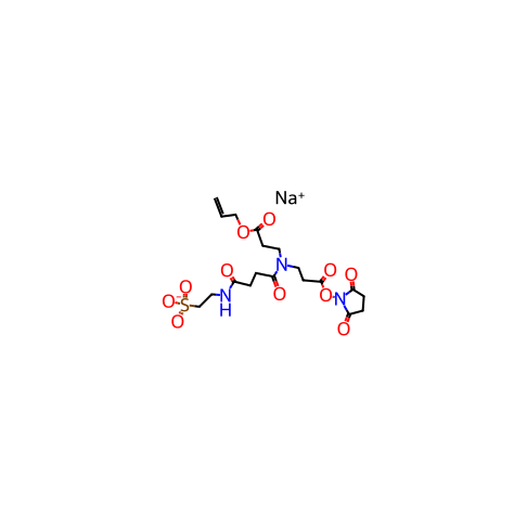 C=CCOC(=O)CCN(CCC(=O)ON1C(=O)CCC1=O)C(=O)CCC(=O)NCCS(=O)(=O)[O-].[Na+]